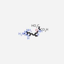 Nc1nc(N)c2c(n1)NCC(CCc1ccnc(C(=O)N[C@@H](CCC(=O)O)C(=O)O)c1)C2